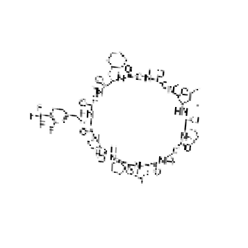 CC[C@H](C)[C@@H]1NC(=O)[C@H](CC(C)C)N(C)C(=O)C[C@@H](C)NC(=O)[C@H](CC(C)C)N(C)C(=O)C2(CCCC2)NC(=O)[C@@H]2CCN2C(=O)[C@H](CCc2ccc(C(F)(F)F)c(F)c2)NC(=O)CN(C)C(=O)[C@H](CC2CCCCC2)N(C)C(=O)CN(C)C(=O)CN(C)C1=O